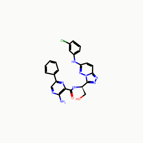 Nc1ncc(-c2ccccc2)nc1C(=O)N[C@H](CO)c1nnc2ccc(Nc3cccc(Cl)c3)nn12